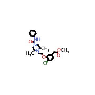 COC(=O)Cc1ccc(Cl)c(OCCN2C(C)CN(C(=O)Nc3ccccc3)CC2C)c1